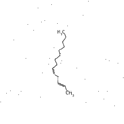 CC=CC/C=C\CCCCCCCC